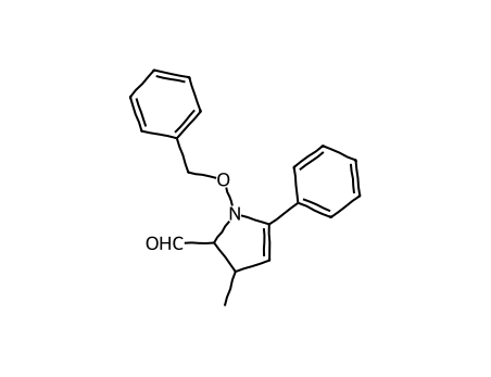 CC1C=C(c2ccccc2)N(OCc2ccccc2)C1C=O